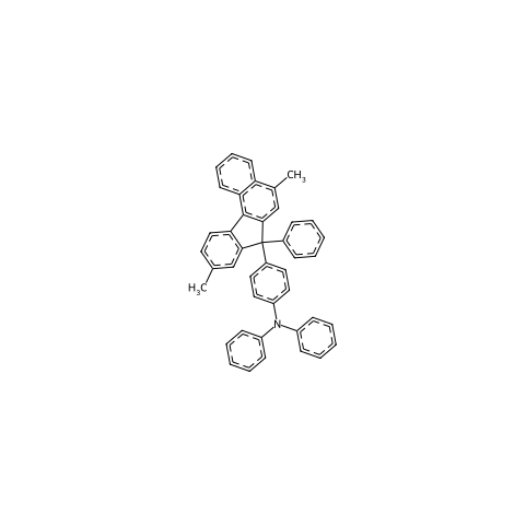 Cc1ccc2c(c1)C(c1ccccc1)(c1ccc(N(c3ccccc3)c3ccccc3)cc1)c1cc(C)c3ccccc3c1-2